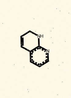 [c]1ccc2c(n1)NCC=C2